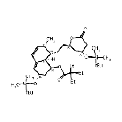 CCC(CC)(CC)C(=O)O[C@H]1C[C@H](O[Si](C)(C)C(C)(C)C)C=C2C=C[C@H](C)[C@H](CC[C@@H]3C[C@@H](O[Si](C)(C)C(C)(C)C)CC(=O)O3)[C@H]21